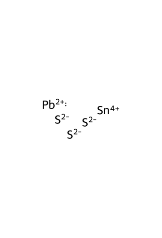 [Pb+2].[S-2].[S-2].[S-2].[Sn+4]